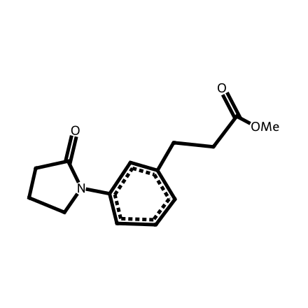 COC(=O)CCc1cccc(N2CCCC2=O)c1